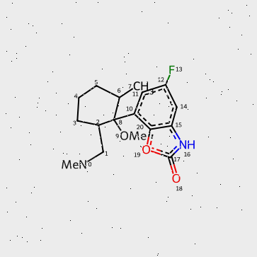 CNCC1CCCC(C)C1(OC)c1cc(F)cc2[nH]c(=O)oc12